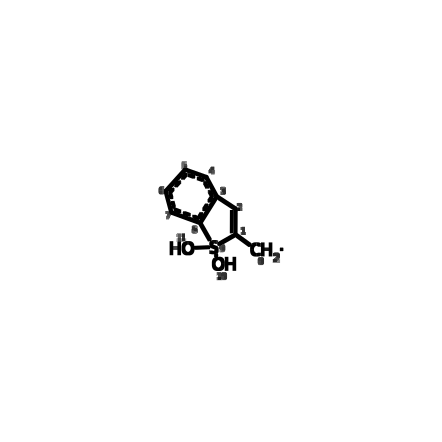 [CH2]C1=Cc2ccccc2S1(O)O